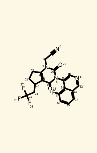 N#CCn1c2c(c(=O)n(-c3cncc4cccc(F)c34)c1=O)C(CC(F)(F)F)CC2